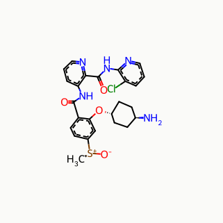 C[S@+]([O-])c1ccc(C(=O)Nc2cccnc2C(=O)Nc2ncccc2Cl)c(O[C@H]2CC[C@H](N)CC2)c1